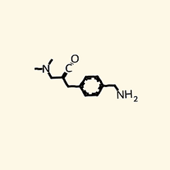 CN(C)CC(=C=O)Cc1ccc(CN)cc1